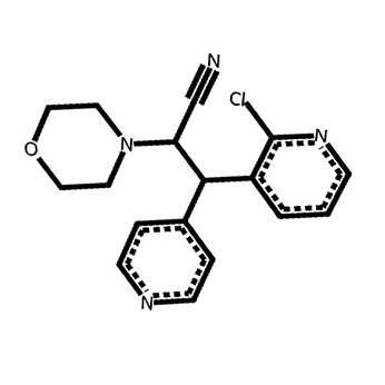 N#CC(C(c1ccncc1)c1cccnc1Cl)N1CCOCC1